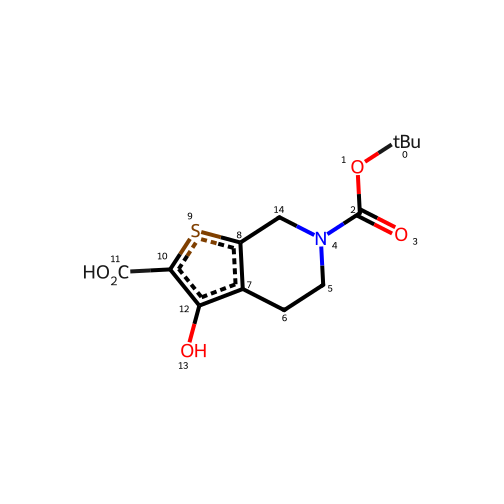 CC(C)(C)OC(=O)N1CCc2c(sc(C(=O)O)c2O)C1